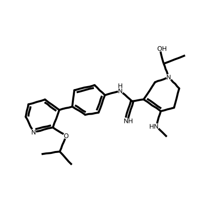 CNC1=C(C(=N)Nc2ccc(-c3cccnc3OC(C)C)cc2)CN(C(C)O)CC1